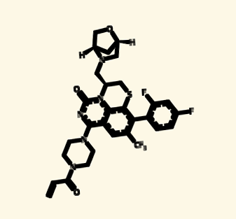 C=CC(=O)N1CCN(c2nc(=O)n3c4c(c(-c5ccc(F)cc5F)c(C(F)(F)F)cc24)SC[C@@H]3CN2C[C@@H]3C[C@H]2CO3)CC1